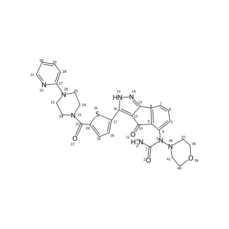 NC(=O)N(c1cccc2c1C(=O)c1c-2n[nH]c1-c1ccc(C(=O)N2CCN(c3ccccn3)CC2)s1)N1CCOCC1